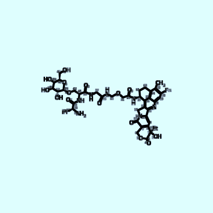 CC[C@@]1(O)C(=O)OCc2c1cc1n(c2=O)Cc2c-1nc1cc(F)c(C)c3c1c2[C@@H](NC(=O)COCNC(=O)CNC(=O)[C@H](CO[C@@H]1O[C@H](CO)[C@H](O)[C@H](O)[C@H]1O)NC(=O)[C@@H](N)C(C)C)CC3